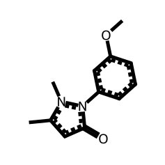 COc1cccc(-n2c(=O)cc(C)n2C)c1